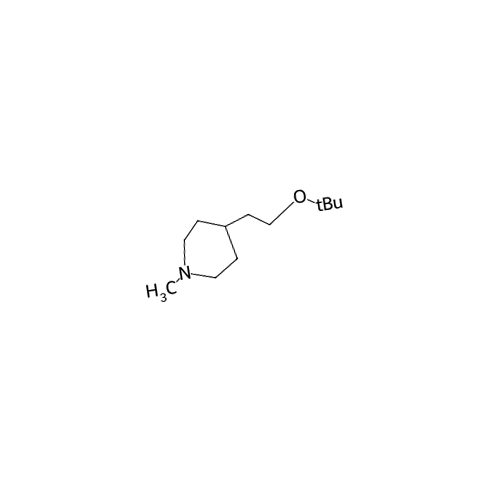 CN1CCC(CCOC(C)(C)C)CC1